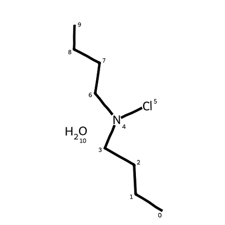 CCCCN(Cl)CCCC.O